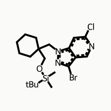 CC(C)(C)[Si](C)(C)OCC1(Cn2nc(Br)c3cnc(Cl)cc32)CCCCC1